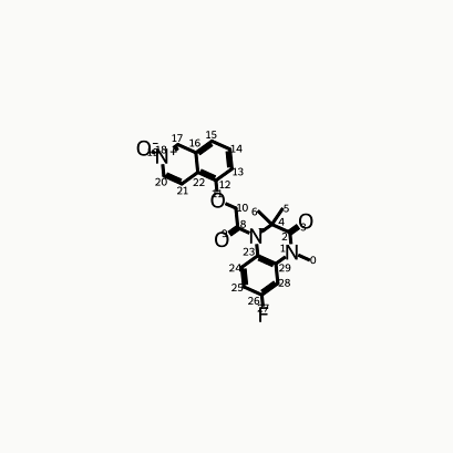 CN1C(=O)C(C)(C)N(C(=O)COc2cccc3c[n+]([O-])ccc23)c2ccc(F)cc21